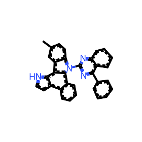 Cc1ccc2c(c1)c1c3[nH]ccc3c3ccccc3c1n2-c1nc(-c2ccccc2)c2ccccc2n1